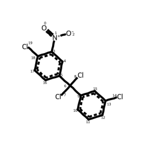 O=[N+]([O-])c1cc(C(Cl)(Cl)c2cccc(Cl)c2)ccc1Cl